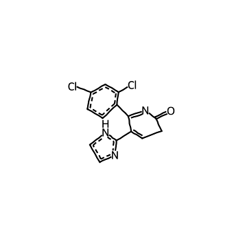 O=C1CC=C(c2ncc[nH]2)C(c2ccc(Cl)cc2Cl)=N1